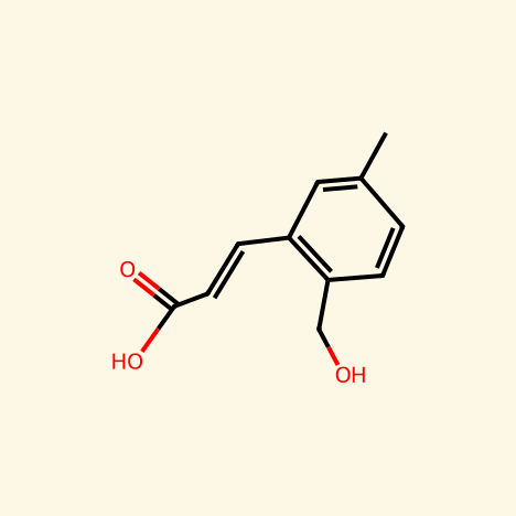 Cc1ccc(CO)c(/C=C/C(=O)O)c1